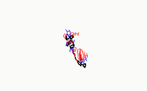 CN(C(=O)CCCc1ccc(-c2ccccc2)c(NC(=O)O)c1)c1ccc(CNC[C@H](O[Si](C)(C)C(C)(C)C)c2ccc(O)c3[nH]c(=O)ccc23)cc1